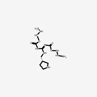 BNPOC(=O)/N=C(\NC[C@H]1CCNC1)NC(=O)OPNB